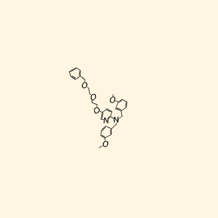 COc1cccc(CN(Cc2cccc(OC)c2)c2ccc(OCCOCCOCc3ccccc3)cn2)c1